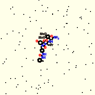 COc1ccc([C@@H](CC(N)=O)NC(=O)[C@@H](CC(C)C)N2C(=O)N(Cc3ccc(NC(=O)Nc4ccccc4C)cc3)C3(CCC(=O)CC3)C2=O)cc1OC